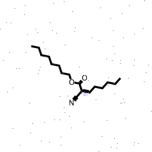 CCCCC/C=C(/C#N)C(=O)OCCCCCCCC